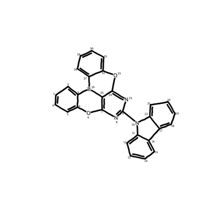 c1ccc2c(c1)Oc1nc(-n3c4ccccc4c4ccccc43)nc3c1B2c1ccccc1O3